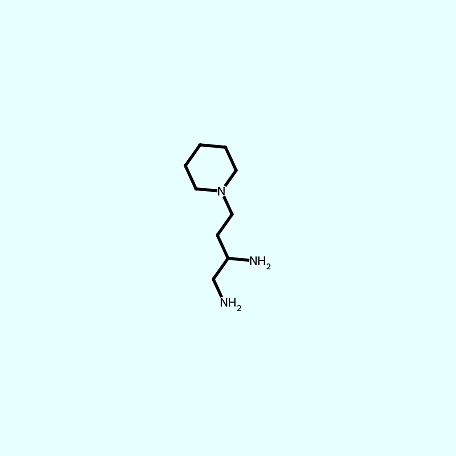 NCC(N)CCN1CCCCC1